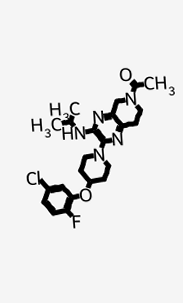 CC(=O)N1CCc2nc(N3CCC(Oc4cc(Cl)ccc4F)CC3)c(NC(C)C)nc2C1